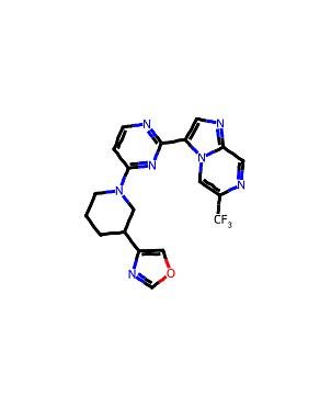 FC(F)(F)c1cn2c(-c3nccc(N4CCCC(c5cocn5)C4)n3)cnc2cn1